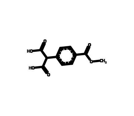 COC(=O)c1ccc(C(C(=O)O)C(=O)O)cc1